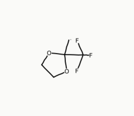 [CH2]C1(C(F)(F)F)OCCO1